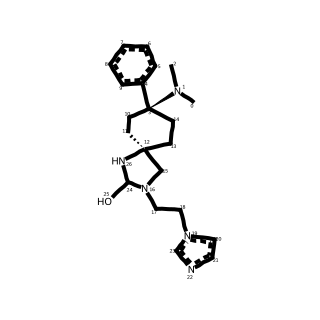 CN(C)[C@]1(c2ccccc2)CC[C@]2(CC1)CN(CCn1ccnc1)C(O)N2